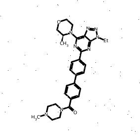 CCn1nnc2c(N3CCOC[C@@H]3C)nc(-c3ccc(-c4c[c]c(C(=O)N5CCN(C)CC5)cc4)cc3)nc21